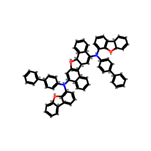 C1=CC2Oc3c(cccc3N(C3=CC4c5c(cc(N(c6ccc(-c7ccccc7)cc6)c6cccc7c6oc6ccccc67)c6ccccc56)OC4c4ccccc43)c3ccc(-c4ccccc4)cc3)C2C=C1